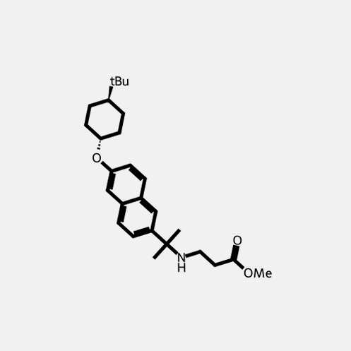 COC(=O)CCNC(C)(C)c1ccc2cc(O[C@H]3CC[C@H](C(C)(C)C)CC3)ccc2c1